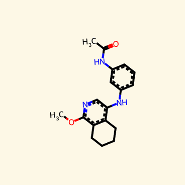 COc1ncc(Nc2cccc(NC(C)=O)c2)c2c1CCCC2